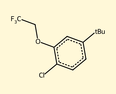 CC(C)(C)c1ccc(Cl)c(OCC(F)(F)F)c1